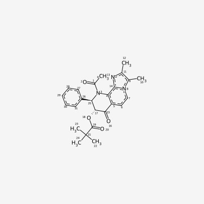 CC(=O)N1c2c(ccn3c(C)c(C)nc23)C(=O)[C@H](OC(=O)C(C)(C)C)[C@H]1c1ccccc1